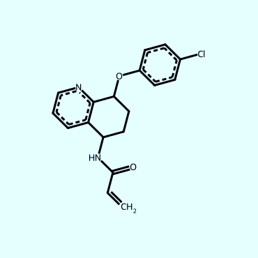 C=CC(=O)NC1CCC(Oc2ccc(Cl)cc2)c2ncccc21